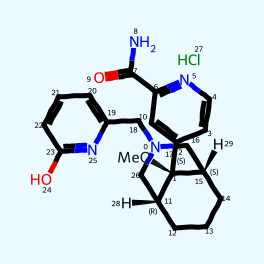 CO[C@]1(c2ccnc(C(N)=O)c2)[C@@H]2CCC[C@H]1CN(Cc1cccc(O)n1)C2.Cl